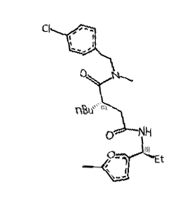 CCCC[C@@H](CC(=O)N[C@@H](CC)c1ccc(C)o1)C(=O)N(C)Cc1ccc(Cl)cc1